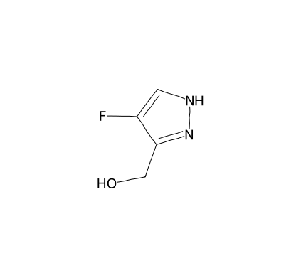 OCc1n[nH]cc1F